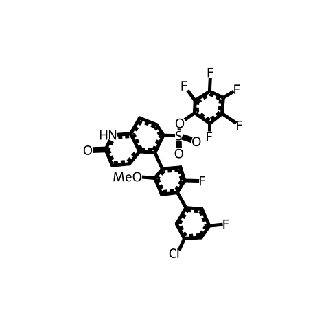 COc1cc(-c2cc(F)cc(Cl)c2)c(F)cc1-c1c(S(=O)(=O)Oc2c(F)c(F)c(F)c(F)c2F)ccc2[nH]c(=O)ccc12